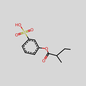 CCC(C)C(=O)Oc1cccc(S(=O)(=O)O)c1